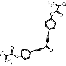 C=C(C)C(=O)Oc1ccc(C#CC(=O)C#Cc2ccc(OC(=O)C(=C)C)cc2)cc1